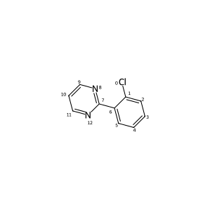 Clc1ccccc1-c1ncccn1